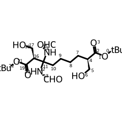 CC(C)(C)OC(=O)[C@@H](CO)CCCCC(NC=O)(NC=O)[C@H](CO)C(=O)OC(C)(C)C